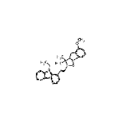 CCn1c2ccccc2c2cccc(C=CC3SN4c5cccc(OC)c5CC4C3(C)C)c21